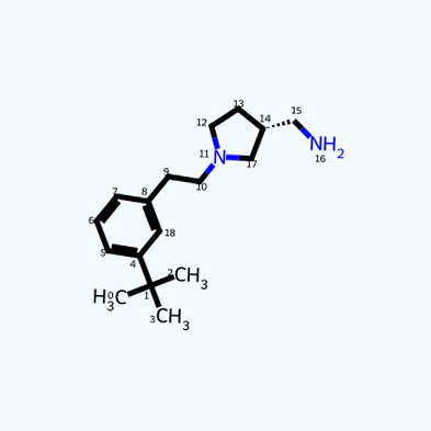 CC(C)(C)c1cccc(CCN2CC[C@H](CN)C2)c1